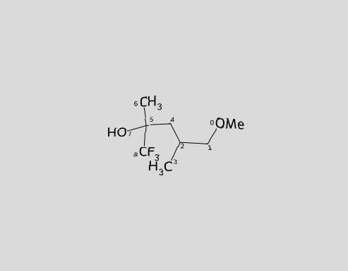 COCC(C)CC(C)(O)C(F)(F)F